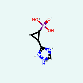 O=P(O)(O)C1CC1c1nc[nH]n1